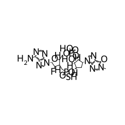 Cn1cnc2c(ncn2[C@@H]2C[C@@H]3OP(=O)(S)C[C@H]4[C@@H](F)[C@H](n5cnc6c(N)ncnc65)O[C@@H]4COP(=O)(O)O[C@@H]2[C@@H]3O)c1=O